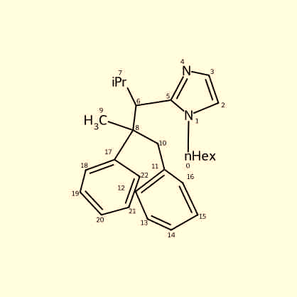 CCCCCCn1ccnc1C(C(C)C)C(C)(Cc1ccccc1)c1ccccc1